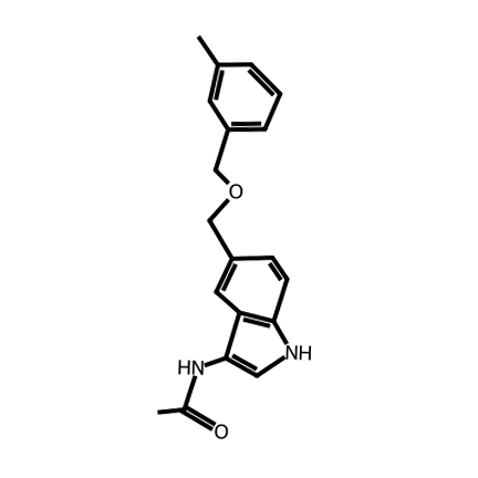 CC(=O)Nc1c[nH]c2ccc(COCc3cccc(C)c3)cc12